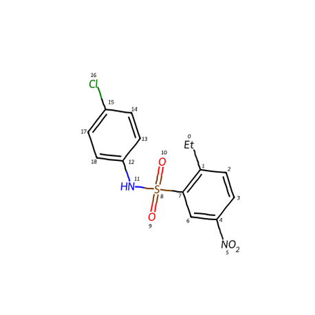 CCc1ccc([N+](=O)[O-])cc1S(=O)(=O)Nc1ccc(Cl)cc1